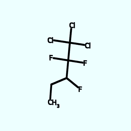 CCC(F)C(F)(F)C(Cl)(Cl)Cl